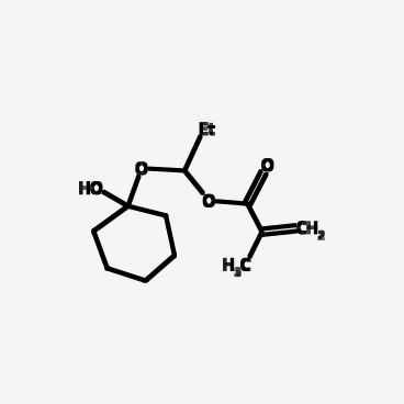 C=C(C)C(=O)OC(CC)OC1(O)CCCCC1